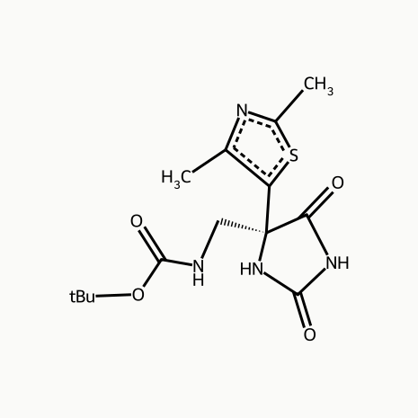 Cc1nc(C)c([C@]2(CNC(=O)OC(C)(C)C)NC(=O)NC2=O)s1